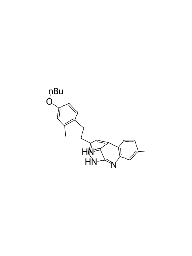 CCCCOc1ccc(CCC2=CNC3=Nc4cc(C)ccc4C(=C2)C3=N)c(C)c1